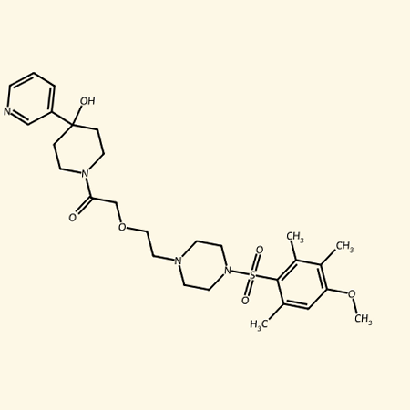 COc1cc(C)c(S(=O)(=O)N2CCN(CCOCC(=O)N3CCC(O)(c4cccnc4)CC3)CC2)c(C)c1C